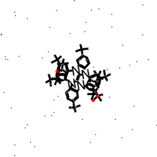 CC(C)(C)c1cc(N2/C(=C3/N(c4cc(C(C)(C)C)cc(C(C)(C)C)c4)c4ccc(C(C)(C)C)cc4N3c3cc(C(C)(C)C)cc(C(C)(C)C)c3)N(c3cc(C(C)(C)C)cc(C(C)(C)C)c3)c3cc(C(C)(C)C)ccc32)cc(C(C)(C)C)c1